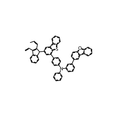 C=CC1=C(/C=C\C)C(c2cc(-c3ccc(N(c4ccccc4)c4cccc(-c5ccc6oc7ccccc7c6c5)c4)cc3)c3sc4ccccc4c3c2)c2ccccc21